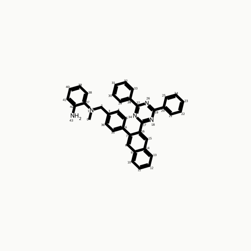 CN(Cc1ccc(-c2cc3ccccc3cc2-c2nc(-c3ccccc3)nc(-c3ccccc3)n2)cc1)c1ccccc1N